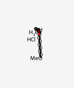 COCCOCCOCCOCCOCCOCCOCCOCCN1[C@@H]2Cc3ccccc3[C@@]1(C)c1ccccc12.Cl